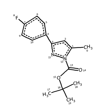 Cc1cc(-c2ccc(F)cc2)nn1C(=O)OC(C)(C)C